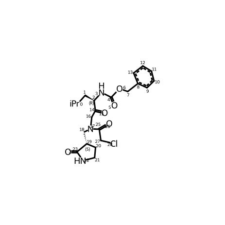 CC(C)C[C@@H](NC(=O)OCc1ccccc1)C(=O)CN(C[C@@H]1CCNC1=O)C(=O)CCl